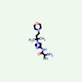 CCCC(N)C(=O)Nc1cn(C(C)(C)CCN2CCOCC2)cn1